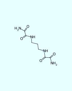 NC(=O)C(=O)NCCCNC(=O)C(N)=O